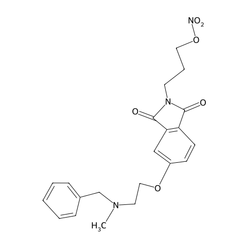 CN(CCOc1ccc2c(c1)C(=O)N(CCCO[N+](=O)[O-])C2=O)Cc1ccccc1